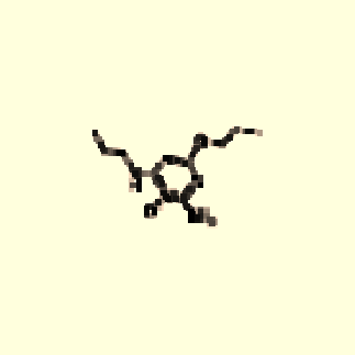 CCCNc1cc(OCCC)nc(N)[n+]1[O-]